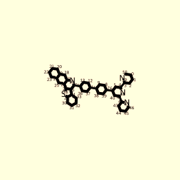 c1ccc(-c2cc(-c3ccc(-c4ccc(-c5nc6cc7ccccc7cc6c6sc7ccccc7c56)cc4)cc3)cc(-c3ccccn3)n2)nc1